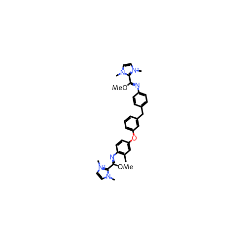 CO/C(=N\c1ccc(Cc2cccc(Oc3ccc(/N=C(\OC)c4n(C)cc[n+]4C)c(C)c3)c2)cc1)c1n(C)cc[n+]1C